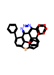 c1ccc(-c2ccccc2-c2c(-c3ccccc3)nnnc2-c2c(-c3ccccc3)ccc3sc4ccccc4c23)cc1